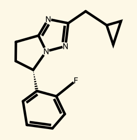 Fc1ccccc1[C@@H]1CCc2nc(CC3CC3)nn21